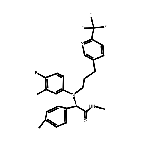 CNC(=O)[C@@H](c1ccc(C)cc1)N(CCCc1ccc(C(F)(F)F)nc1)c1ccc(F)c(C)c1